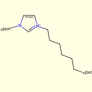 CCCCCCCCCCCCCCCC[n+]1ccn(CCCCCCCCC)c1